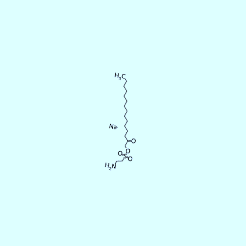 CCCCCCCCCCCCCC(=O)COS(=O)(=O)CCN.[Na]